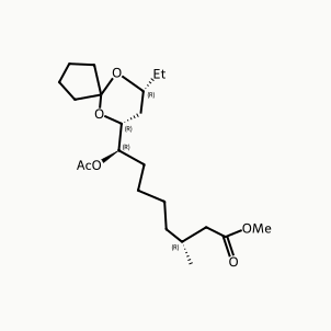 CC[C@@H]1C[C@H]([C@@H](CCCC[C@@H](C)CC(=O)OC)OC(C)=O)OC2(CCCC2)O1